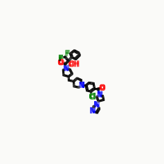 O=C(c1ccc(N2CCC(CC3CCN(C(=O)C(O)(c4ccccc4)C(F)F)CC3)CC2)cc1Cl)N1CCC(n2ccnc2)C1